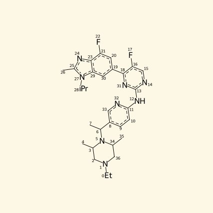 CCN1CC(C)N(C(C)c2ccc(Nc3ncc(F)c(-c4cc(F)c5nc(C)n(C(C)C)c5c4)n3)nc2)C(C)C1